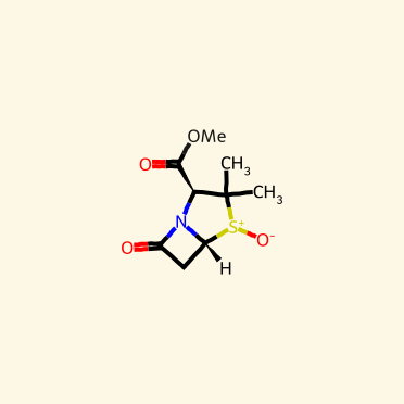 COC(=O)[C@@H]1N2C(=O)C[C@H]2[S+]([O-])C1(C)C